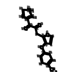 O=C(Cc1occc1Oc1ccc(C(F)(F)F)cc1)C(=O)c1nc[nH]n1